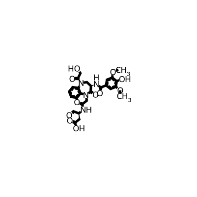 COc1cc(C(=O)N[C@H]2CN(C(=O)CO)c3ccccc3N(CC(=O)N[C@H](C=O)CC(=O)O)C2=O)cc(OC)c1O